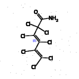 NC(=O)C(Cl)(Cl)/C(Cl)=C(\Cl)C(Cl)=C(Cl)Cl